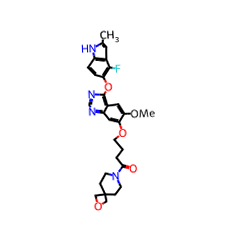 COc1cc2c(Oc3ccc4[nH]c(C)cc4c3F)ncnc2cc1OCCCC(=O)N1CCC2(CC1)COC2